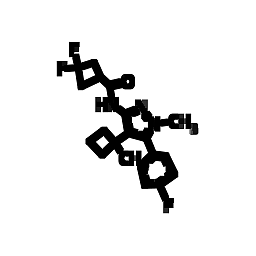 Cn1nc(NC(=O)C2CC(F)(F)C2)c(C2(C)CCC2)c1-c1ccc(F)cc1